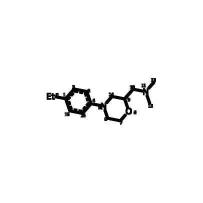 CCc1ccc(N2CCOC(CN(C)C)C2)cc1